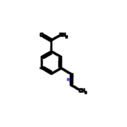 C/C=C/c1c[c]cc(C(N)=O)c1